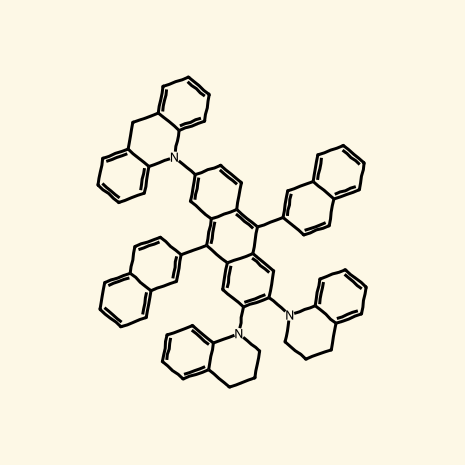 c1ccc2c(c1)CCCN2c1cc2c(-c3ccc4ccccc4c3)c3ccc(N4c5ccccc5Cc5ccccc54)cc3c(-c3ccc4ccccc4c3)c2cc1N1CCCc2ccccc21